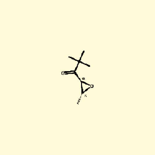 C[C@H]1O[C@@H]1C(=O)C(C)(C)C